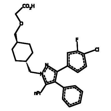 CCCc1c(-c2ccccc2)c(-c2ccc(Cl)c(F)c2)nn1C[C@H]1CC[C@H](COCC(=O)O)CC1